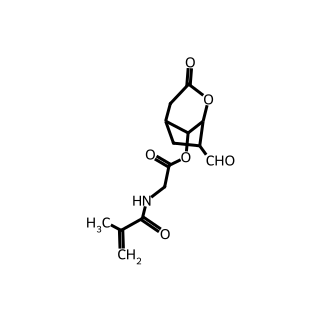 C=C(C)C(=O)NCC(=O)OC1C2CC(=O)OC1C(C=O)C2